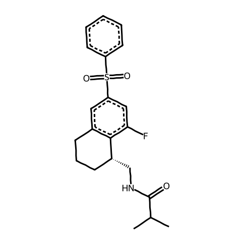 CC(C)C(=O)NC[C@@H]1CCCc2cc(S(=O)(=O)c3ccccc3)cc(F)c21